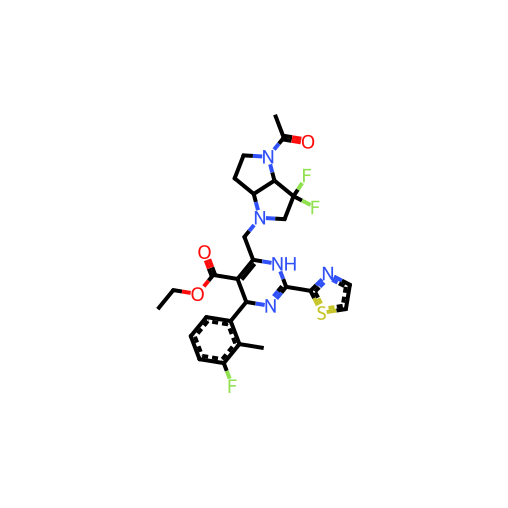 CCOC(=O)C1=C(CN2CC(F)(F)C3C2CCN3C(C)=O)NC(c2nccs2)=NC1c1cccc(F)c1C